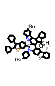 CC(C)(C)c1ccc(N2B3c4cc5sc(-c6ccccc6)c(-c6ccccc6)c5cc4-n4c5ccc(C(C)(C)C)cc5c5c6c(c(c3c54)-c3cc4c(cc32)sc2ccccc24)C(C)(C)c2ccccc2-6)cc1